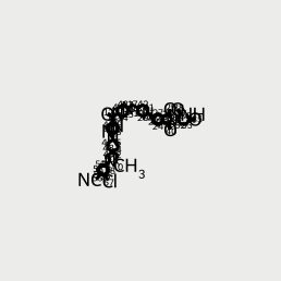 C[C@H]1CC2(CCN(c3cnc(C(=O)N4CCN(CC5CCN(c6ccc7c(c6)C(=O)N(C6CCC(=O)NC6=O)C7=O)CC5)CC4)cn3)CC2)CN1c1ccc(C#N)c(Cl)c1